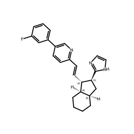 Fc1cccc(-c2ccc(C=C[C@H]3[C@@H]4CCCC[C@@H]4C[C@@H]3c3ncc[nH]3)nc2)c1